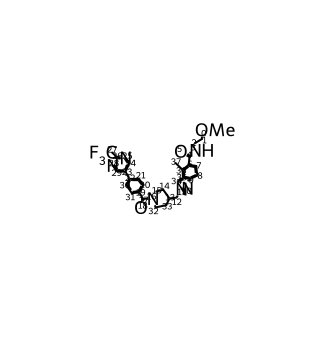 COCCNC(=O)c1ccc2nn(CC3CCN(C(=O)c4ccc(-c5cnc(C(F)(F)F)nc5)cc4)CC3)cc2c1C